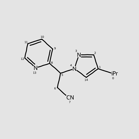 CC(C)c1cnn(C(CC#N)c2ccccn2)c1